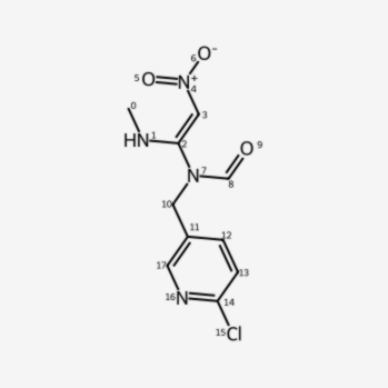 CNC(=C[N+](=O)[O-])N(C=O)Cc1ccc(Cl)nc1